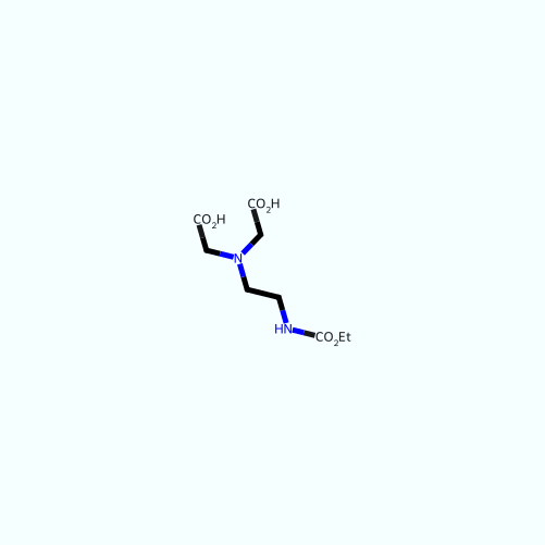 CCOC(=O)NCCN(CC(=O)O)CC(=O)O